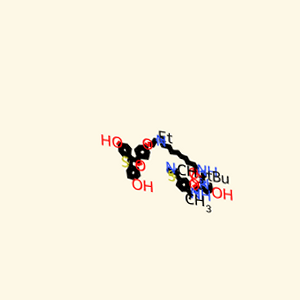 CCN(CCCCCCCCC(=O)NC(C(=O)N1C[C@H](O)C[C@H]1C(=O)N[C@@H](C)c1ccc(-c2scnc2C)cc1)C(C)(C)C)CCOc1ccc(C(=O)c2c(-c3ccc(O)cc3)sc3cc(O)ccc23)cc1